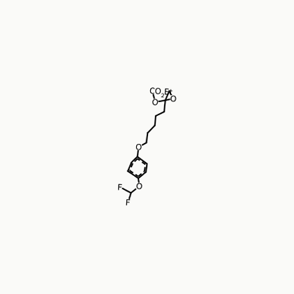 CCOC(=O)OC1(CCCCCOc2ccc(OC(F)F)cc2)CO1